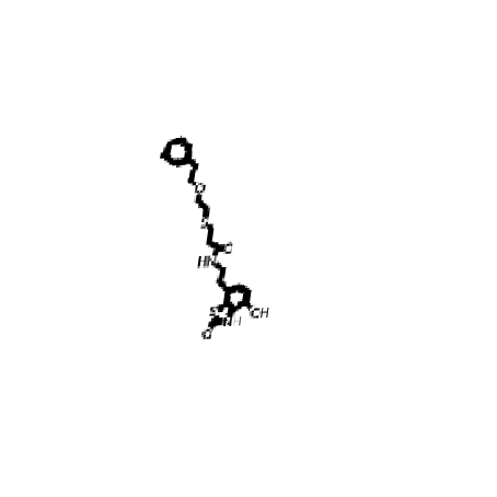 O=C(CCSCCOCCc1ccccc1)NCCc1ccc(O)c2[nH]c(=O)sc12